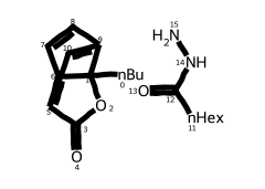 CCCCC12OC(=O)C3=C1C=CC2=C3.CCCCCCC(=O)NN